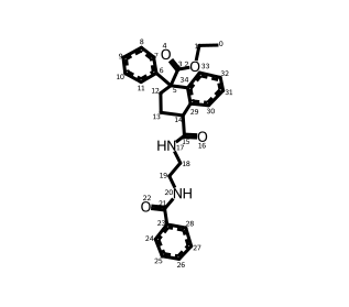 CCOC(=O)C1(c2ccccc2)CCC(C(=O)NCCNC(=O)c2ccccc2)c2ccccc21